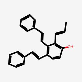 CC=Cc1c(O)ccc(C=Cc2ccccc2)c1C=Cc1ccccc1